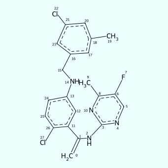 C=C(Nc1ncc(F)c(C)n1)c1cc(NCc2cc(C)cc(Cl)c2)ccc1Cl